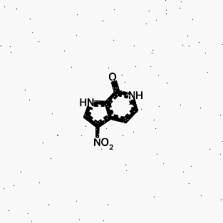 O=c1[nH]ccc2c([N+](=O)[O-])c[nH]c12